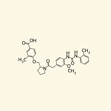 COc1cc(CC(=O)N2CCCC2COc2ccc(C(=O)O)cc2C)ccc1NC(=O)Nc1ccccc1C